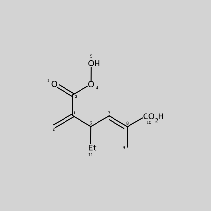 C=C(C(=O)OO)C(C=C(C)C(=O)O)CC